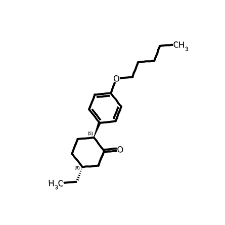 CCCCCOc1ccc([C@@H]2CC[C@@H](CC)CC2=O)cc1